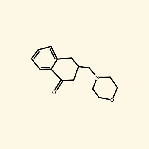 O=C1CC(CN2CCOCC2)Cc2ccccc21